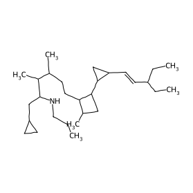 CCCNC(CC1CC1)C(C)C(C)CCC1C(C)CC1C1CC1C=CC(CC)CC